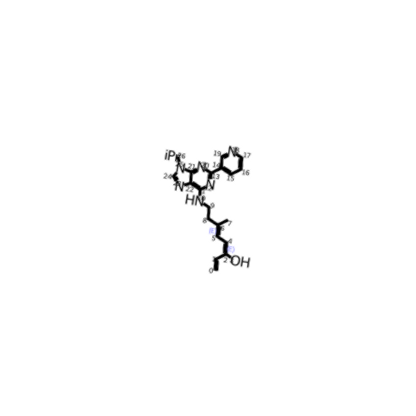 C=C/C(O)=C\C=C(/C)CCNc1nc(-c2cccnc2)nc2c1ncn2C(C)C